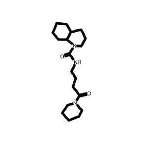 O=C(CCCNC(=O)N1CCCC2CCCCC21)N1CCCCC1